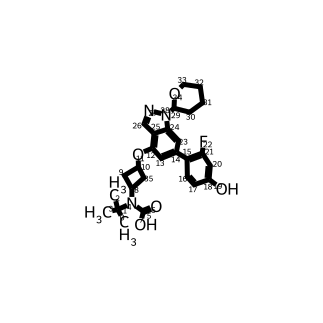 CC(C)(C)N(C(=O)O)C1CC(Oc2cc(-c3ccc(O)cc3F)cc3c2cnn3C2CCCCO2)C1